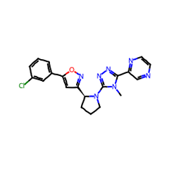 Cn1c(-c2cnccn2)nnc1N1CCC[C@H]1c1cc(-c2cccc(Cl)c2)on1